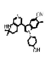 Cc1cc2c(cc1C#N)c(-c1cncc3c1CCC(C)(C)N3)cn2[C@H]1CC[C@H](O)CC1